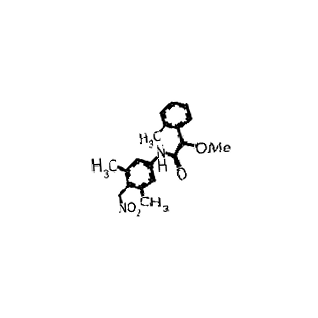 COC(C(=O)Nc1cc(C)c(C[N+](=O)[O-])c(C)c1)c1ccccc1C